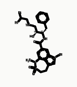 CCC(CC)CNC[C@@H](O)[C@H](Cc1ccccc1)NC(=O)c1cc2c3c(cn(CC)c3c1)CCS(=O)(=O)N2C